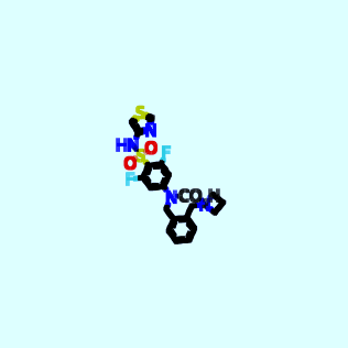 O=C(O)N(Cc1ccccc1CN1CCC1)c1cc(F)c(S(=O)(=O)Nc2cscn2)c(F)c1